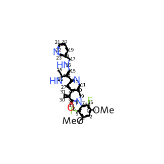 COc1cc(OC)c(F)c(N2Cc3cnc(/C(=C/NCc4cccnc4)C(C)=N)cc3C3(CC3)C2=O)c1F